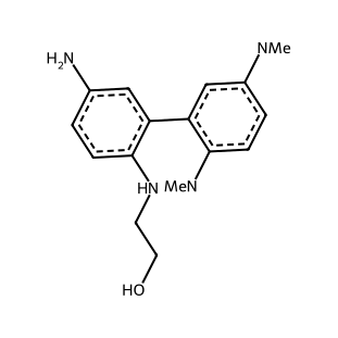 CNc1ccc(NC)c(-c2cc(N)ccc2NCCO)c1